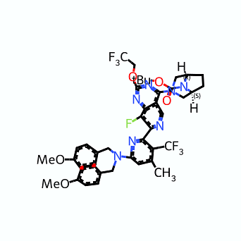 COc1ccc(CN(Cc2ccc(OC)cc2)c2cc(C)c(C(F)(F)F)c(-c3ncc4c(N5C[C@H]6CC[C@@H](C5)N6C(=O)OC(C)(C)C)nc(OCC(F)(F)F)nc4c3F)n2)cc1